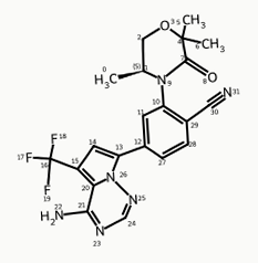 C[C@H]1COC(C)(C)C(=O)N1c1cc(-c2cc(C(F)(F)F)c3c(N)ncnn23)ccc1C#N